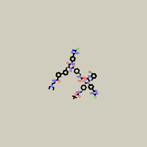 CC(C)(C)OC(=O)NC[C@H]1CC[C@H](C(=O)N(c2ccc(-c3nnc(Cl)[nH]3)cc2)[C@@H](Cc2cccc(Br)c2)C(N)=O)CC1.CCN(CC)CCNC(=O)c1cccc(-c2cccc(C[C@H](NC(=O)[C@H]3CC[C@H](CNC(=O)O)CC3)C(=O)Nc3ccc(-c4nnc(Cl)[nH]4)cc3)c2)c1